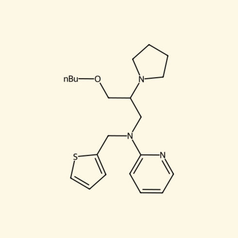 CCCCOCC(CN(Cc1cccs1)c1ccccn1)N1CCCC1